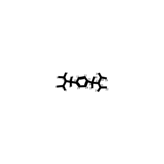 CC(C)C(C(C)C)C(C)(C)c1ccc(C(C)(C)C(C(C)C)C(C)C)cc1